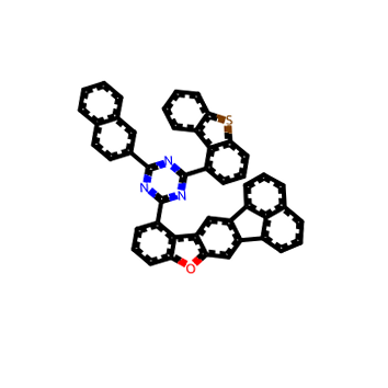 c1ccc2cc(-c3nc(-c4cccc5oc6cc7c(cc6c45)-c4cccc5cccc-7c45)nc(-c4cccc5sc6ccccc6c45)n3)ccc2c1